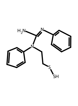 NC(=Nc1ccccc1)N(CCSS)c1ccccc1